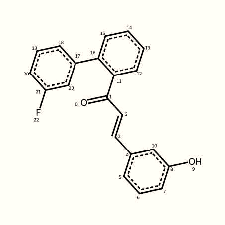 O=C(/C=C/c1cccc(O)c1)c1ccccc1-c1cccc(F)c1